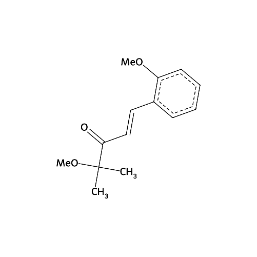 COc1ccccc1C=CC(=O)C(C)(C)OC